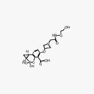 O=C(CN1CC(Oc2ccc3c(c2C(=O)O)O[B-](O)(O)[C@H]2C[C@@H]32)C1)NOCCO